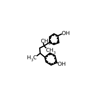 CC(CC(C)(C)c1ccc(O)cc1)c1ccc(O)cc1